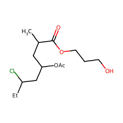 CCC(Cl)CC(CC(C)C(=O)OCCCO)OC(C)=O